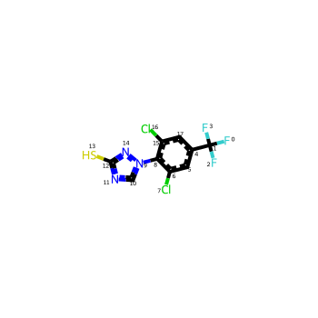 FC(F)(F)c1cc(Cl)c(-n2cnc(S)n2)c(Cl)c1